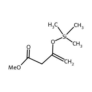 C=C(CC(=O)OC)O[Si](C)(C)C